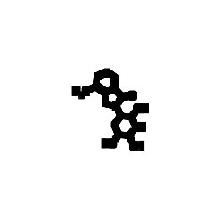 Cc1cccc2c1CN(C1CC(O)C(O)NC1O)C2=O